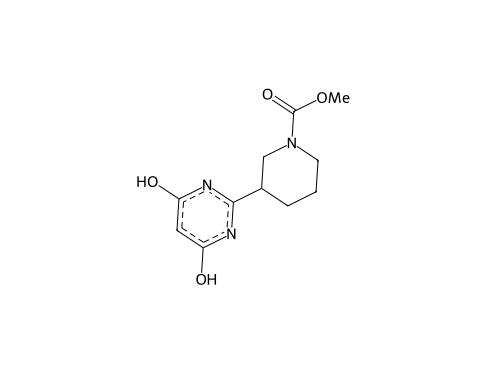 COC(=O)N1CCCC(c2nc(O)cc(O)n2)C1